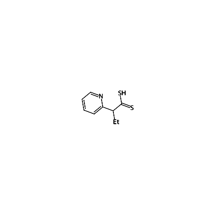 CCC(C(=S)S)c1ccccn1